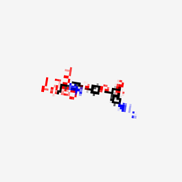 Nc1ccc2c(COc3ccc(COc4ccn(C5OC(CO)C(O)C5O)c(=O)n4)cc3)cc(=O)oc2c1